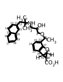 C[C@@H](OCC(O)CNC(C)(C)Cc1ccc2ccccc2c1)c1cccc2c1O[C@@H]1[C@@H](C(=O)O)[C@H]21